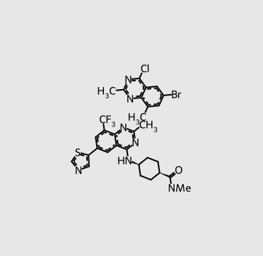 CNC(=O)[C@H]1CC[C@@H](Nc2nc(C)nc3c(C(F)(F)F)cc(-c4cncs4)cc23)CC1.Cc1nc(Cl)c2cc(Br)cc(C)c2n1